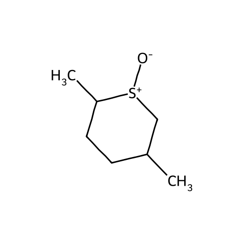 CC1CCC(C)[S+]([O-])C1